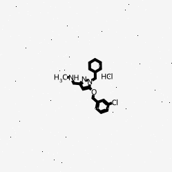 CNCc1cc(OCc2cccc(Cl)c2)n(CC2CCCCC2)n1.Cl